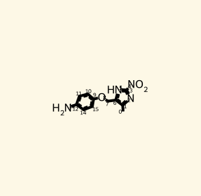 Cc1nc([N+](=O)[O-])[nH]c1COc1ccc(N)cc1